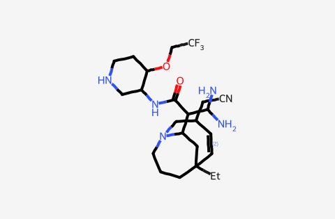 CCC12/C=C\C(CC#N)CN(CCC1)C(C(C(=O)NC1CNCCC1OCC(F)(F)F)C(N)N)C2